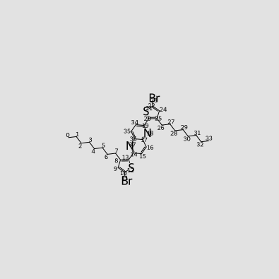 CCCCCCCCc1cc(Br)sc1-c1ccc2nc(-c3sc(Br)cc3CCCCCCCC)ccc2n1